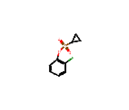 O=S(=O)(Oc1[c]cccc1F)C1CC1